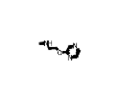 CNCCOc1cnccn1